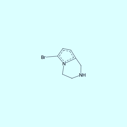 Brc1ccc2n1CCNC2